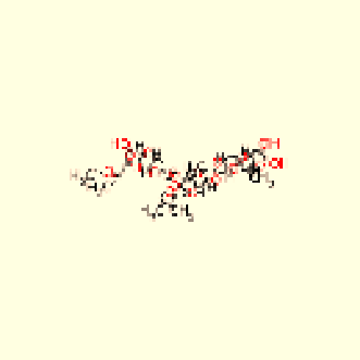 C=CCO[C@H](CC)CC[C@]12C[C@@H](O)C(O1)[C@H]1CC(O2)[C@H]2O[C@@H](CC(=O)O[C@@H]3C[C@]4(C)O[C@]5(C)C[C@]6(C[C@@H]7O[C@@]8(CC[C@@H]7O6)C[C@H](C)[C@@H]6O[C@H](CO)[C@H](O)C[C@@H]6O8)O[C@@H]5C[C@@H]4O[C@H]3C[C@H]3OCC[C@@H](C)C3=C)CC[C@@H]2O1